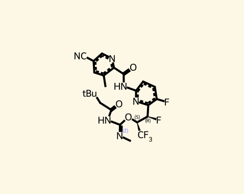 C/N=C(/NC(=O)CC(C)(C)C)O[C@@H]([C@H](F)c1nc(NC(=O)c2ncc(C#N)cc2C)ccc1F)C(F)(F)F